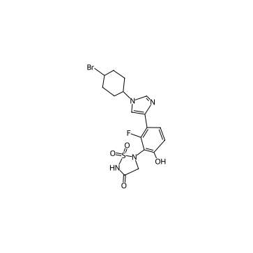 O=C1CN(c2c(O)ccc(-c3cn(C4CCC(Br)CC4)cn3)c2F)S(=O)(=O)N1